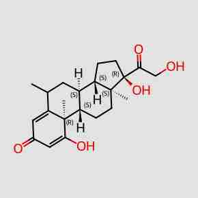 CC1C[C@@H]2[C@H](CC[C@@]3(C)[C@H]2CC[C@]3(O)C(=O)CO)[C@@]2(C)C(O)=CC(=O)C=C12